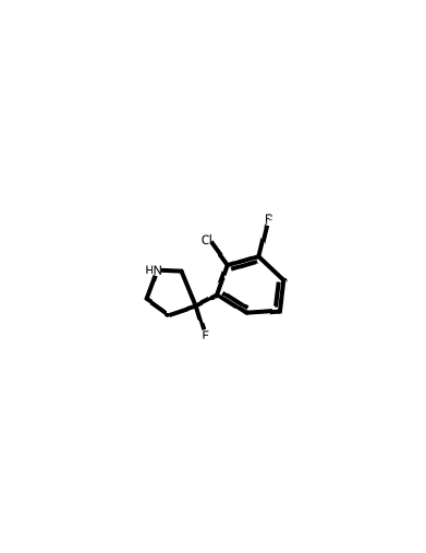 Fc1cccc(C2(F)CCNC2)c1Cl